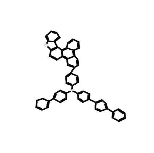 C1=CCCC(c2ccc(N(c3ccc(-c4ccc(-c5ccccc5)cc4)cc3)c3ccc(-c4ccc5c6ccccc6c6c(ccc7oc8ccccc8c76)c5c4)cc3)cc2)=C1